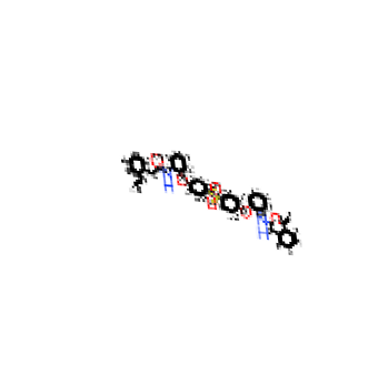 C=Cc1ccccc1CC(=O)Nc1ccccc1Oc1ccc(S(=O)(=O)c2ccc(Oc3ccccc3NC(=O)Cc3ccccc3C=C)cc2)cc1